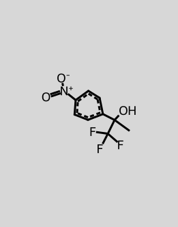 CC(O)(c1ccc([N+](=O)[O-])cc1)C(F)(F)F